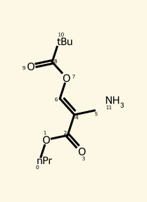 CCCOC(=O)C(C)=COC(=O)C(C)(C)C.N